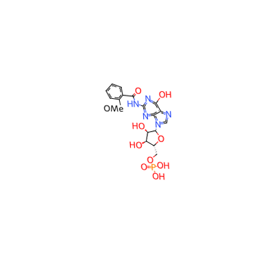 COc1ccccc1C(=O)Nc1nc(O)c2ncn([C@@H]3O[C@H](COP(=O)(O)O)[C@@H](O)[C@H]3O)c2n1